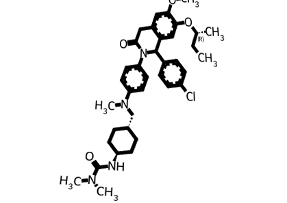 CC[C@@H](C)Oc1cc2c(cc1OC)CC(=O)N(c1ccc(N(C)C[C@H]3CC[C@H](NC(=O)N(C)C)CC3)cc1)C2c1ccc(Cl)cc1